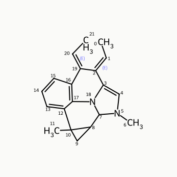 C/C=C1/C2=CN(C)C3C4CC4(C)c4cccc(c4N23)/C1=C/C